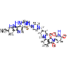 CC(C)Nc1c(-c2nnc(N3CCN(CC4CCN(c5cccc6c5C(=O)N(C5CCC(=O)NC5=O)C6=O)CC4)CC3)s2)cnc2c1[nH]c1cc(C#N)ccc12